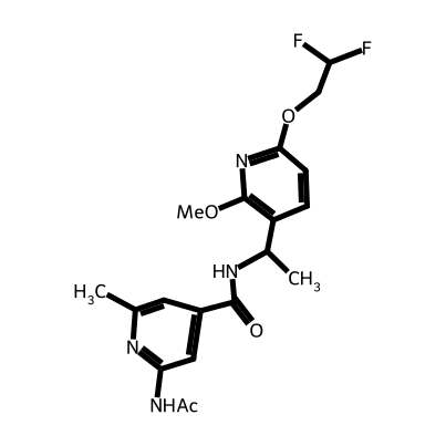 COc1nc(OCC(F)F)ccc1C(C)NC(=O)c1cc(C)nc(NC(C)=O)c1